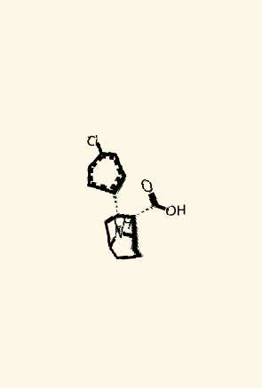 CN1C2CCC1[C@@H](C(=O)O)[C@@H](c1ccc(Cl)cc1)C2